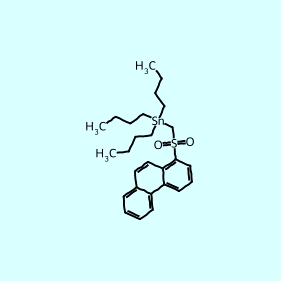 CCC[CH2][Sn]([CH2]CCC)([CH2]CCC)[CH2]S(=O)(=O)c1cccc2c1ccc1ccccc12